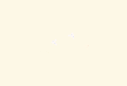 c1ccc2c(c1)oc1cc(-n3c4ccccc4c4ccc5c(c6ccccc6n5-c5cccc6c5sc5ccccc56)c43)ccc12